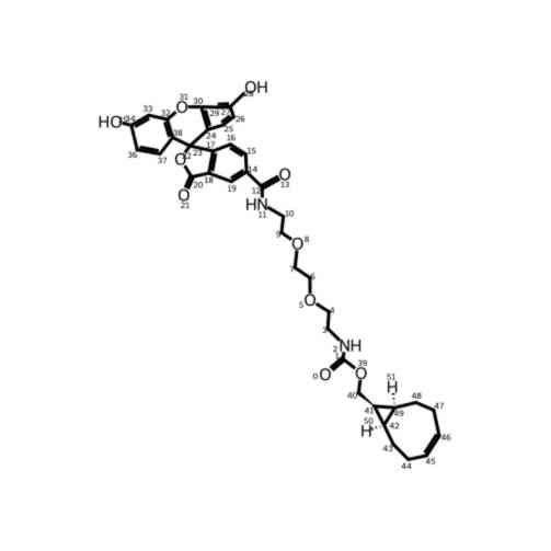 O=C(NCCOCCOCCNC(=O)c1ccc2c(c1)C(=O)OC21c2ccc(O)cc2Oc2cc(O)ccc21)OC[C@@H]1[C@@H]2CC/C=C\CC[C@@H]21